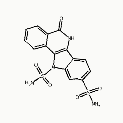 NS(=O)(=O)c1ccc2c3[nH]c(=O)c4ccccc4c3n(S(N)(=O)=O)c2c1